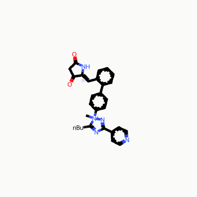 CCCCC1=NC(c2ccncc2)=N[N+]1(C)c1ccc(-c2ccccc2/C=C2\NC(=O)CC2=O)cc1